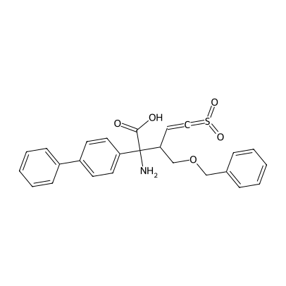 NC(C(=O)O)(c1ccc(-c2ccccc2)cc1)C(C=C=S(=O)=O)COCc1ccccc1